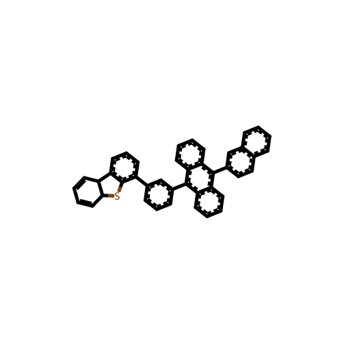 C1=CC2Sc3c(-c4cccc(-c5c6ccccc6c(-c6ccc7ccccc7c6)c6ccccc56)c4)cccc3C2C=C1